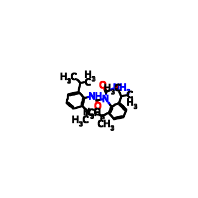 CC(C)c1cccc(C(C)C)c1NC(=O)N(C(N)=O)c1c(C(C)C)cccc1C(C)C